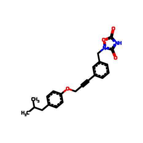 CC(C)Cc1ccc(OCC#Cc2cccc(Cn3oc(=O)[nH]c3=O)c2)cc1